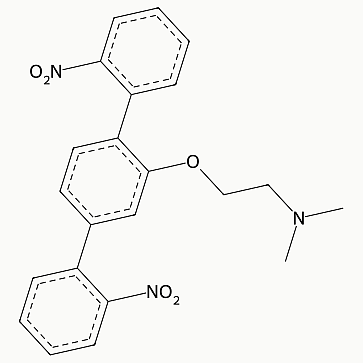 CN(C)CCOc1cc(-c2ccccc2[N+](=O)[O-])ccc1-c1ccccc1[N+](=O)[O-]